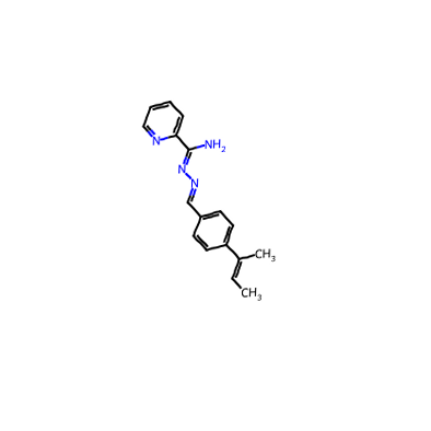 C/C=C(\C)c1ccc(/C=N/N=C(\N)c2ccccn2)cc1